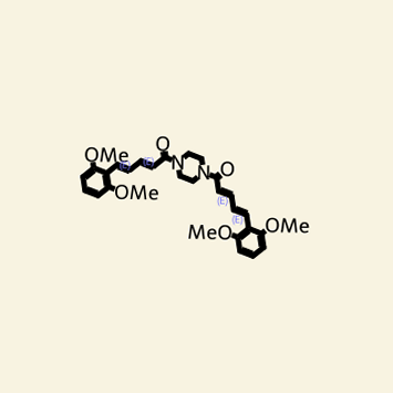 COc1cccc(OC)c1/C=C/C=C/C(=O)N1CCN(C(=O)/C=C/C=C/c2c(OC)cccc2OC)CC1